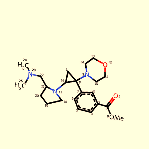 COC(=O)c1cccc(C2(N3CCOCC3)CC2N2CCCC2CN(C)C)c1